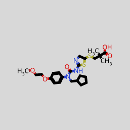 COCCOc1ccc(N(CC2CCCC2)C(=O)NC2=NCC(SCC(C)(C)C(=O)O)S2)cc1